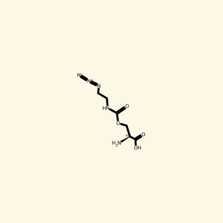 [N-]=[N+]=NCCNC(=O)OC[C@H](N)C(=O)O